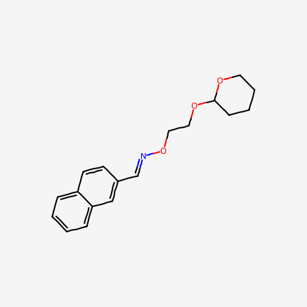 C(=N\OCCOC1CCCCO1)/c1ccc2ccccc2c1